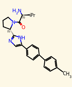 Cc1ccc(-c2ccc(-c3cnc([C@@H]4CCCN4C(=O)[C@@H](N)C(C)C)[nH]3)cc2)cc1